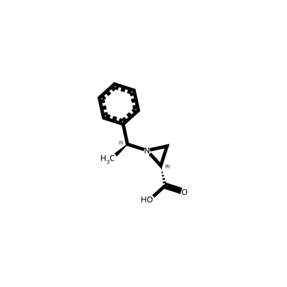 C[C@@H](c1ccccc1)N1C[C@@H]1C(=O)O